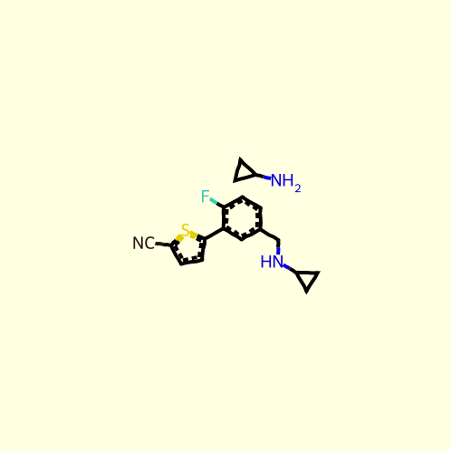 N#Cc1ccc(-c2cc(CNC3CC3)ccc2F)s1.NC1CC1